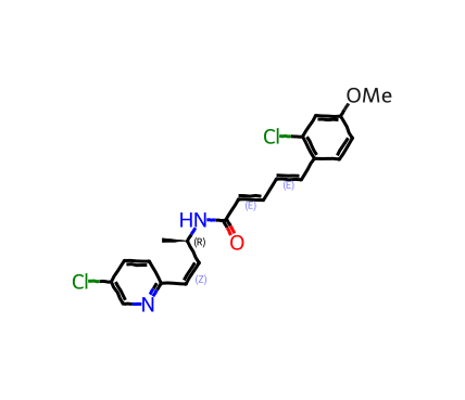 COc1ccc(/C=C/C=C/C(=O)N[C@H](C)/C=C\c2ccc(Cl)cn2)c(Cl)c1